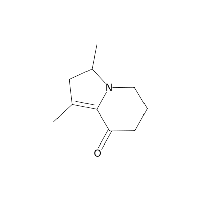 CC1=C2C(=O)CCCN2C(C)C1